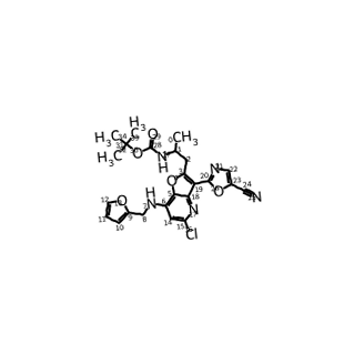 CC(Cc1oc2c(NCc3ccco3)cc(Cl)nc2c1-c1ncc(C#N)o1)NC(=O)OC(C)(C)C